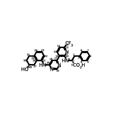 O=C(O)[C@H](Cc1ccccc1)Nc1nc(C(F)(F)F)ccc1-c1cc(Nc2cccc3c2C[C@@H](O)CC3)ncn1